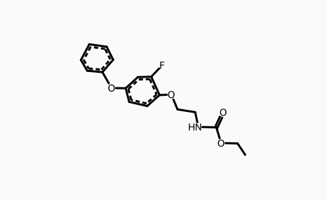 CCOC(=O)NCCOc1ccc(Oc2ccccc2)cc1F